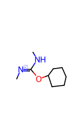 C/N=C(/NC)OC1CCCCC1